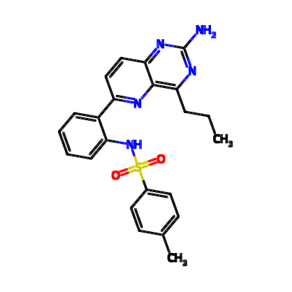 CCCc1nc(N)nc2ccc(-c3ccccc3NS(=O)(=O)c3ccc(C)cc3)nc12